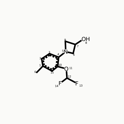 Cc1ccc(N2CC(O)C2)c(OC(F)F)c1